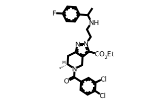 CCOC(=O)c1c2c(nn1CCNC(C)c1ccc(F)cc1)C[C@@H](C)N(C(=O)c1ccc(Cl)c(Cl)c1)C2